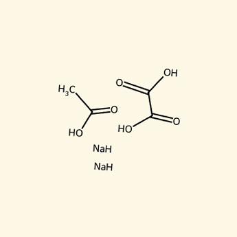 CC(=O)O.O=C(O)C(=O)O.[NaH].[NaH]